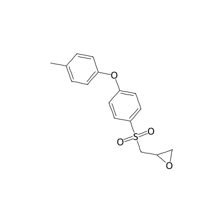 Cc1ccc(Oc2ccc(S(=O)(=O)CC3CO3)cc2)cc1